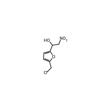 O=[N+]([O-])CC(O)c1ccc(CCl)o1